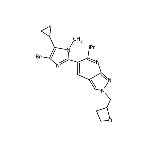 CC(C)c1nc2nn(CC3CCO3)cc2cc1-c1nc(Br)c(C2CC2)n1C